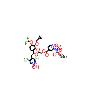 CC(C)(C)OC(=O)N(c1cc(C(=O)OCC(=O)O[C@@H](Cc2c(Cl)c[n+](O)cc2Cl)c2ccc(OC(F)F)c(OCC3CC3)c2)ccn1)S(C)(=O)=O